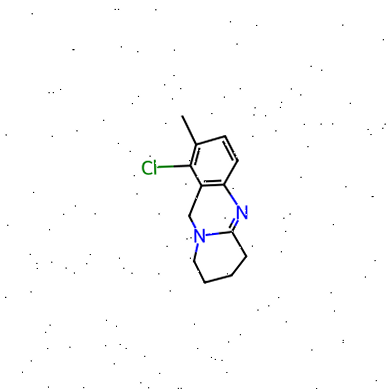 Cc1ccc2c(c1Cl)CN1CCCCC1=N2